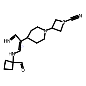 N#CB1CC(N2CCC(/C(C=N)=C/NC3(C=O)CCC3)CC2)C1